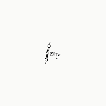 O=[Si]=O.[Si].[Ta]